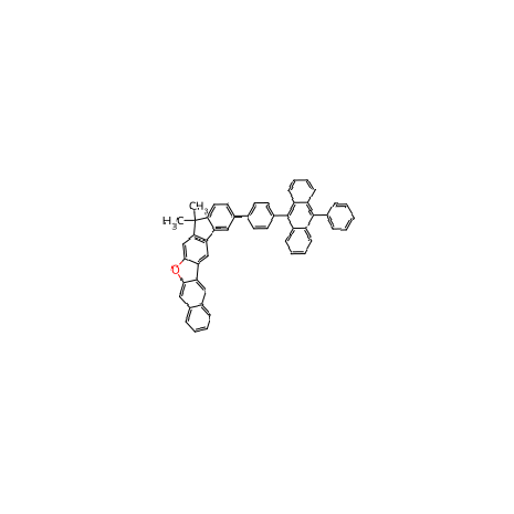 CC1(C)c2ccc(-c3ccc(-c4c5ccccc5c(-c5ccccc5)c5ccccc45)cc3)cc2-c2cc3c(cc21)oc1cc2ccccc2cc13